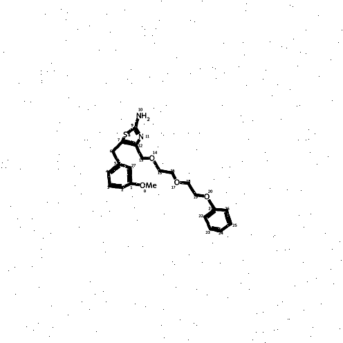 COc1cccc(Cc2sc(N)nc2COCCOCCOc2ccccc2)c1